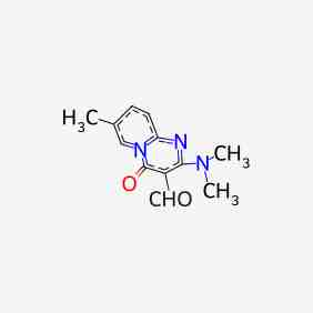 Cc1ccc2nc(N(C)C)c(C=O)c(=O)n2c1